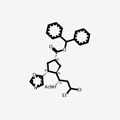 CCC(CC)C[C@H](NC(C)=O)[C@@H]1C[C@@H](C(=O)OC(c2ccccc2)c2ccccc2)C[C@H]1c1cnco1